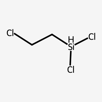 ClCC[SiH](Cl)Cl